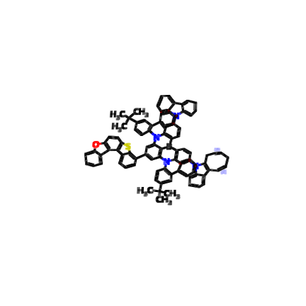 CC(C)(C)c1ccc(N2c3cc(-n4c5c(c6ccccc64)/C=C\C/C=C\C5)ccc3B3c4ccc(-n5c6ccccc6c6ccccc65)cc4N(c4ccc(C(C)(C)C)cc4-c4ccccc4)c4cc(-c5cccc6c5sc5ccc7oc8ccccc8c7c56)cc2c43)c(-c2ccccc2)c1